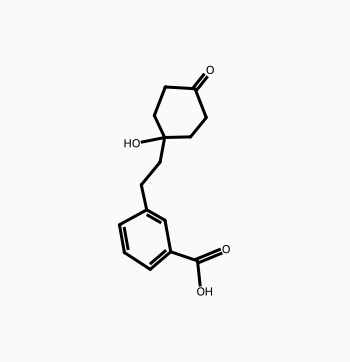 O=C1CCC(O)(CCc2cccc(C(=O)O)c2)CC1